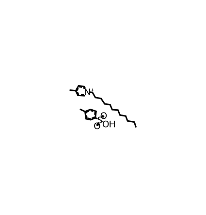 CCCCCCCCCCCC[n+]1ccc(C)cc1.Cc1ccc(S(=O)(=O)O)cc1